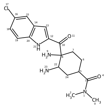 CN(C)C(=O)C1CCC(N)(C(=O)c2cc3cc(Cl)ccc3[nH]2)C(N)C1